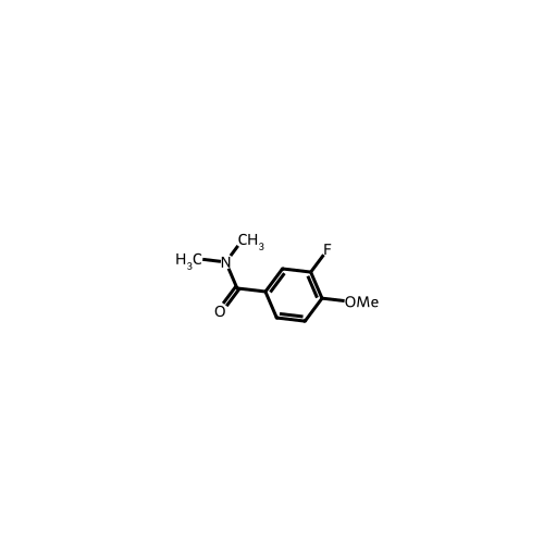 COc1ccc(C(=O)N(C)C)cc1F